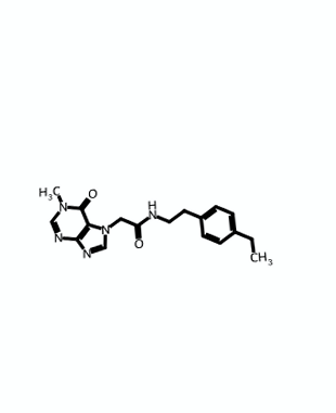 CCc1ccc(CCNC(=O)Cn2cnc3ncn(C)c(=O)c32)cc1